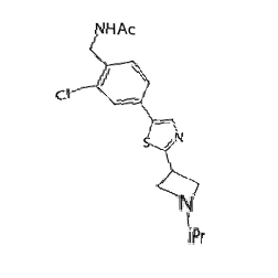 CC(=O)NCc1ccc(-c2cnc(C3CN(C(C)C)C3)s2)cc1Cl